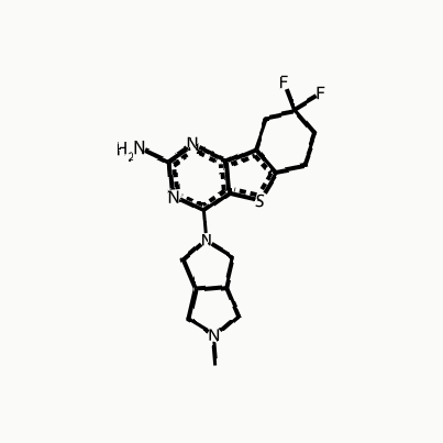 CN1CC2CN(c3nc(N)nc4c5c(sc34)CCC(F)(F)C5)CC2C1